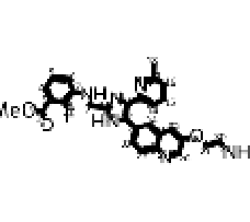 COC(=O)c1cccc(NCc2nc(-c3cccc(C)n3)c(-c3ccc4ncc(OCCN)cc4c3)[nH]2)c1F